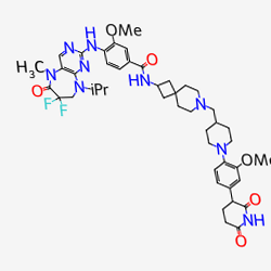 COc1cc(C(=O)NC2CC3(CCN(CC4CCN(c5ccc(C6CCC(=O)NC6=O)cc5OC)CC4)CC3)C2)ccc1Nc1ncc2c(n1)N(C(C)C)CC(F)(F)C(=O)N2C